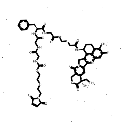 CC[C@@]1(O)C(=O)OCc2c1cc1n(c2=S)Cc2c-1nc1cc(F)c(C)c3c1c2[C@@H](NC(=O)COCNC(=O)CNC(=O)[C@H](Cc1ccccc1)NC(=O)CNC(=O)CNC(=O)OCCOCCN1C(=O)C=CC1=O)CC3